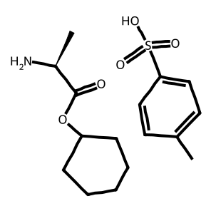 C[C@H](N)C(=O)OC1CCCCC1.Cc1ccc(S(=O)(=O)O)cc1